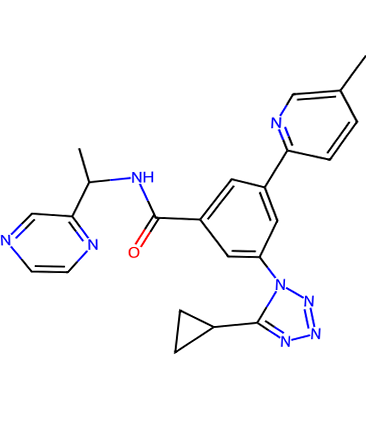 Cc1ccc(-c2cc(C(=O)NC(C)c3cnccn3)cc(-n3nnnc3C3CC3)c2)nc1